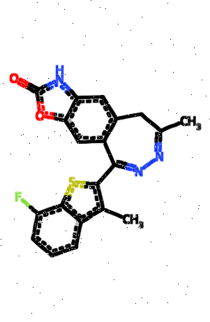 CC1=NN=C(c2sc3c(F)cccc3c2C)c2cc3oc(=O)[nH]c3cc2C1